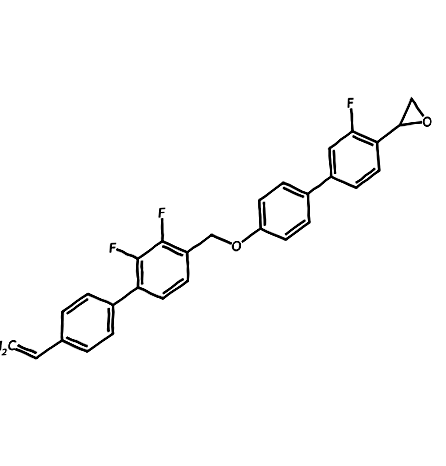 C=Cc1ccc(-c2ccc(COc3ccc(-c4ccc(C5CO5)c(F)c4)cc3)c(F)c2F)cc1